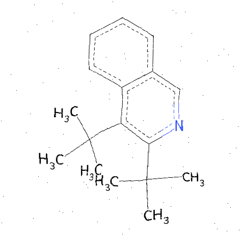 CC(C)(C)c1ncc2ccccc2c1C(C)(C)C